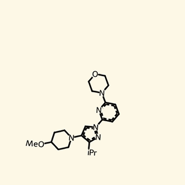 COC1CCN(c2cn(-c3cccc(N4CCOCC4)n3)nc2C(C)C)CC1